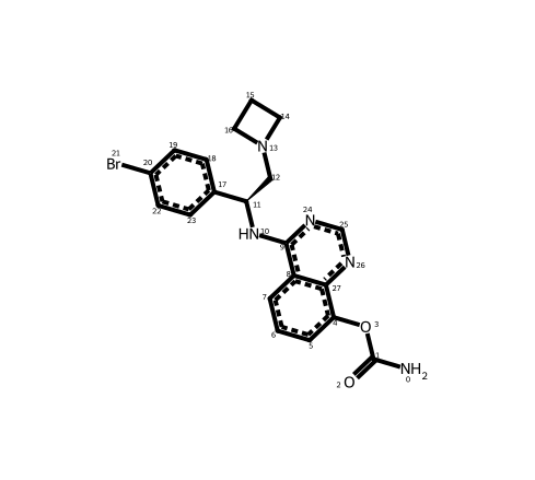 NC(=O)Oc1cccc2c(N[C@H](CN3CCC3)c3ccc(Br)cc3)ncnc12